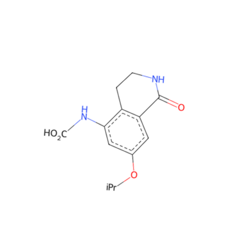 CC(C)Oc1cc(NC(=O)O)c2c(c1)C(=O)NCC2